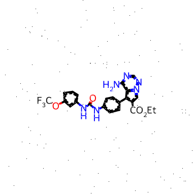 CCOC(=O)c1cn2ncnc(N)c2c1-c1ccc(NC(=O)Nc2cccc(OC(F)(F)F)c2)cc1